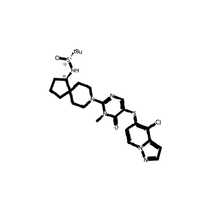 Cn1c(N2CCC3(CCC[C@H]3N[S@+]([O-])C(C)(C)C)CC2)ncc(Sc2ccn3nccc3c2Cl)c1=O